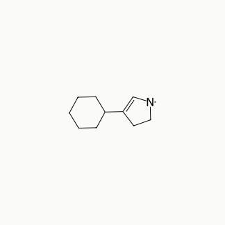 C1=C(C2CCCCC2)CC[N]1